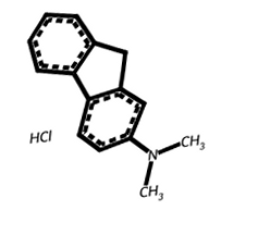 CN(C)c1ccc2c(c1)Cc1ccccc1-2.Cl